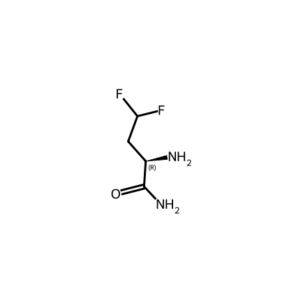 NC(=O)[C@H](N)CC(F)F